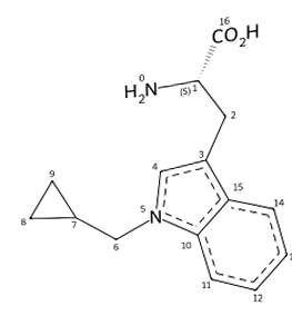 N[C@@H](Cc1cn(CC2CC2)c2ccccc12)C(=O)O